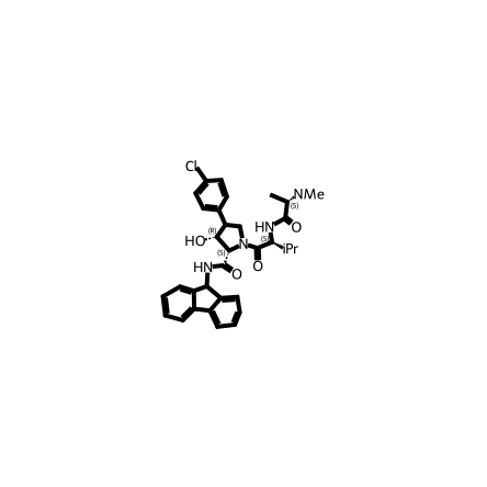 CN[C@@H](C)C(=O)N[C@H](C(=O)N1CC(c2ccc(Cl)cc2)[C@@H](O)[C@H]1C(=O)NC1c2ccccc2-c2ccccc21)C(C)C